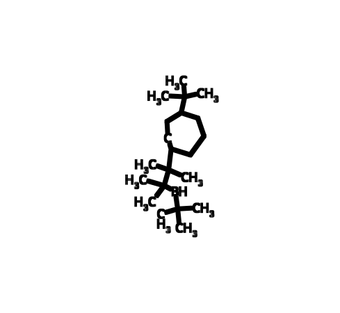 CC(C)(C)BC(C)(C)C(C)(C)C1CCCC(C(C)(C)C)CC1